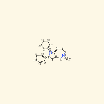 CC(=O)N1CCC=C2C(=CC(c3ccccc3)N2c2ccccc2)C1